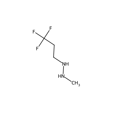 CNNCCC(F)(F)F